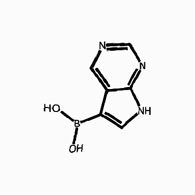 OB(O)c1c[nH]c2ncncc12